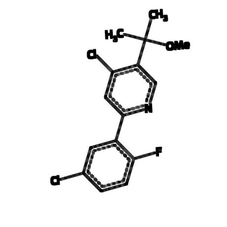 COC(C)(C)c1cnc(-c2cc(Cl)ccc2F)cc1Cl